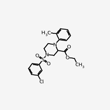 CCOC(=O)C1CN(S(=O)(=O)c2cccc(Cl)c2)CCN1c1ccccc1C